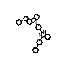 c1ccc(-c2ccc(-c3nc(-c4ccc(-n5c6ccccc6c6c7ccn(-c8ccccc8)c7ccc65)cc4)nc4ccccc34)cc2)cc1